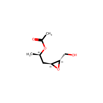 CC(=O)O[C@H](C)C[C@@H]1O[C@H]1CO